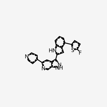 Fc1ccc(-c2cccc3[nH]c(-c4n[nH]c5cnc(-c6ccncc6)cc45)cc23)s1